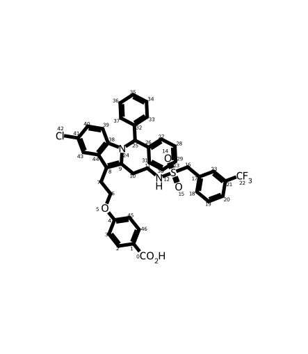 O=C(O)c1ccc(OCCc2c(CCNS(=O)(=O)Cc3cccc(C(F)(F)F)c3)n(C(c3ccccc3)c3ccccc3)c3ccc(Cl)cc23)cc1